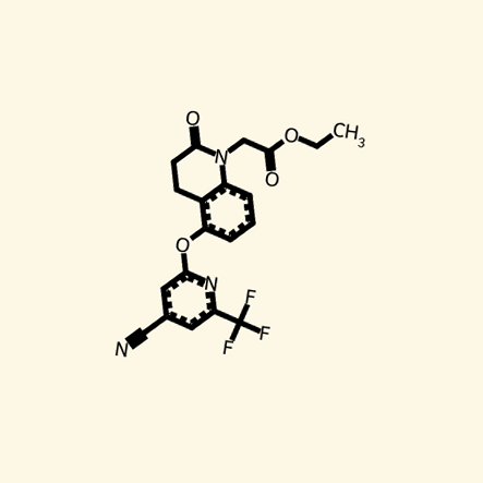 CCOC(=O)CN1C(=O)CCc2c(Oc3cc(C#N)cc(C(F)(F)F)n3)cccc21